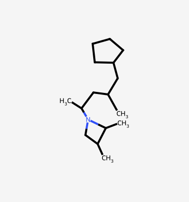 CC(CC1CCCC1)CC(C)N1CC(C)C1C